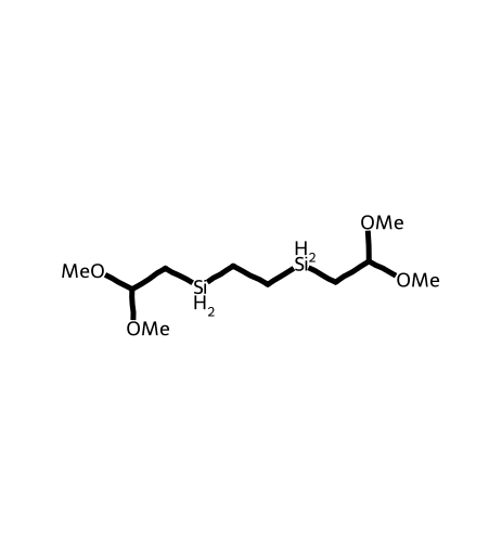 COC(C[SiH2]CC[SiH2]CC(OC)OC)OC